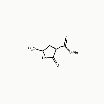 COC(=O)C1CC(C)NC1=O